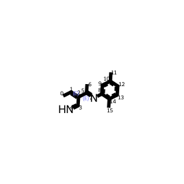 C/C=C(C=N)/C(C)=N/c1cc(C)ccc1C